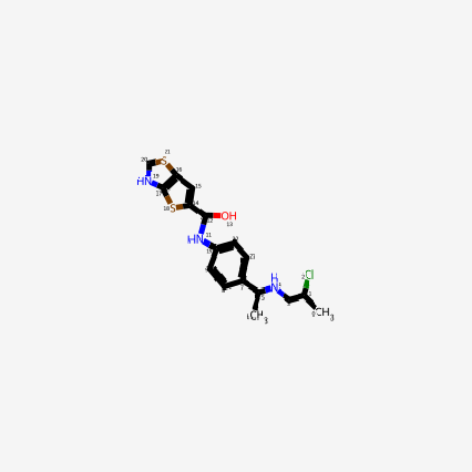 CC(Cl)CNC(C)c1ccc(NC(O)c2cc3c(s2)NCS3)cc1